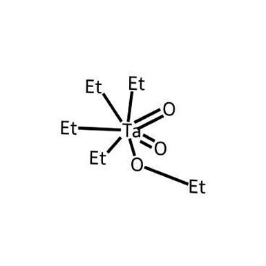 CC[O][Ta](=[O])(=[O])([CH2]C)([CH2]C)([CH2]C)[CH2]C